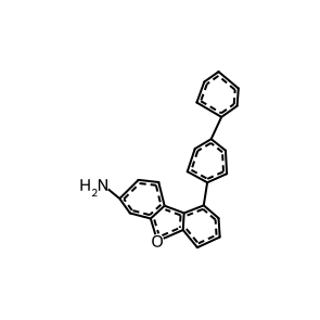 Nc1ccc2c(c1)oc1cccc(-c3ccc(-c4ccccc4)cc3)c12